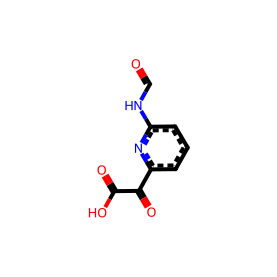 O=CNc1cccc(C(=O)C(=O)O)n1